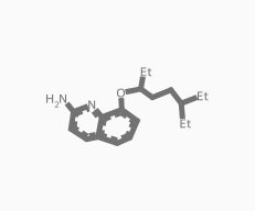 CCC(CC)CCC(CC)Oc1cccc2ccc(N)nc12